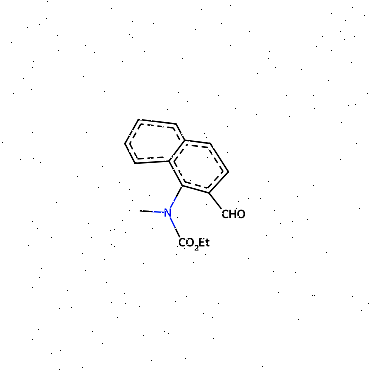 CCOC(=O)N(C)c1c(C=O)ccc2ccccc12